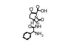 NC(C(=O)N[C@H]1C(=O)N2C(C(=O)O)=C(Cl)CC[C@@H]12)c1ccccc1